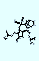 CC(=O)OCC1=C2CC(C#N)(C#N)C3=CC4C=CC(C4)C3C(COC(C)=O)=C2CC1=O